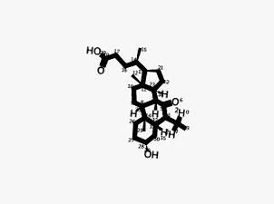 [2H]C([2H])(C)C1C(=O)[C@@H]2[C@H](CC[C@]3(C)[C@@H]([C@H](C)CCC(=O)O)CC[C@@H]23)[C@@]2(C)CC[C@@H](O)C[C@@H]12